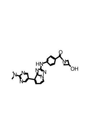 CN(C)c1ncc(-c2cccn3nc(Nc4ccc(C(=O)N5CC(O)C5)cc4)nc23)cn1